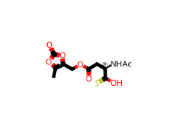 CC(=O)N[C@H](CC(=O)OCc1oc(=O)oc1C)C(O)=S